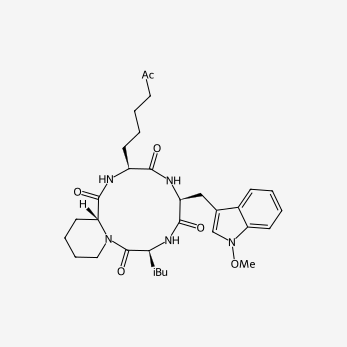 CCC(C)[C@@H]1NC(=O)[C@H](Cc2cn(OC)c3ccccc23)NC(=O)[C@H](CCCCC(C)=O)NC(=O)[C@H]2CCCCN2C1=O